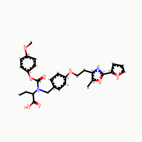 CCC(C(=O)O)N(Cc1ccc(OCCc2nc(-c3ccco3)oc2C)cc1)C(=O)Oc1ccc(OC)cc1